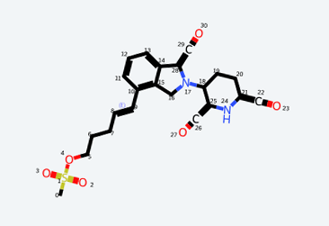 CS(=O)(=O)OCCC/C=C/c1cccc2c1CN(C1CCC(=C=O)NC1=C=O)C2=C=O